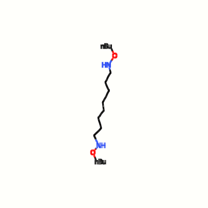 CCCCONCCCCCCCCNOCCCC